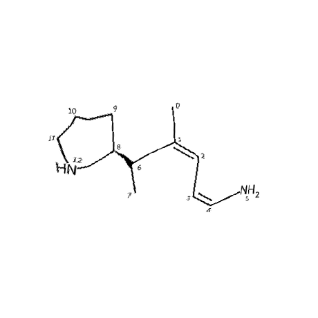 C/C(=C/C=C\N)C(C)[C@@H]1CCCN1